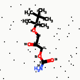 CC(C)(C)[Si](C)(C)OCC(=O)COC(N)=O